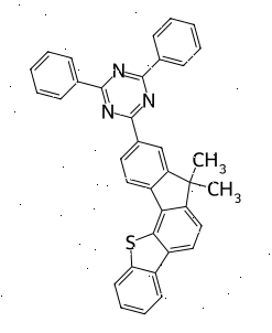 CC1(C)c2cc(-c3nc(-c4ccccc4)nc(-c4ccccc4)n3)ccc2-c2c1ccc1c2sc2ccccc21